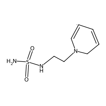 NS(=O)(=O)NCCN1C=[C]C=CC1